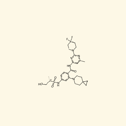 Cc1cc(NC(=O)c2ccc(NS(=O)(=O)[C@@H](C)CO)cc2N2CCC3(CC2)CC3)nc(N2CCC(F)(F)CC2)n1